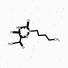 CCCCCn1nc(C(=O)O)c(=O)[nH]c1=O